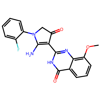 COc1cccc2c(=O)[nH]c(C3=C(N)N(c4ccccc4F)CC3=O)nc12